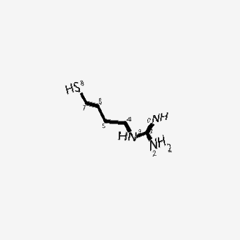 N=C(N)NCCCCS